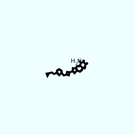 C#CC(=C)C(=C)C(N)C1=CC2=C(C=CC1)C=C(C1CC(Cc3cccc(CCC4CC4)c3)C1)C2